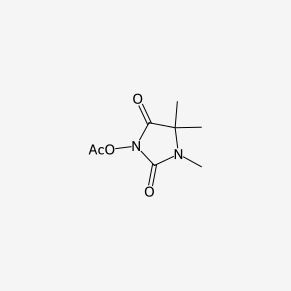 CC(=O)ON1C(=O)N(C)C(C)(C)C1=O